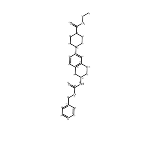 CCOC(=O)C1CCN(c2ccc3c(c2)OCC(NC(=O)OCc2ccccc2)C3)CC1